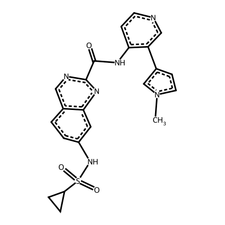 Cn1ccc(-c2cnccc2NC(=O)c2ncc3ccc(NS(=O)(=O)C4CC4)cc3n2)c1